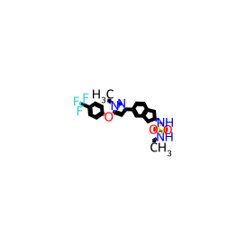 CCNS(=O)(=O)NC1Cc2ccc(-c3cc(Oc4ccc(C(F)(F)F)cc4)n(CC)n3)cc2C1